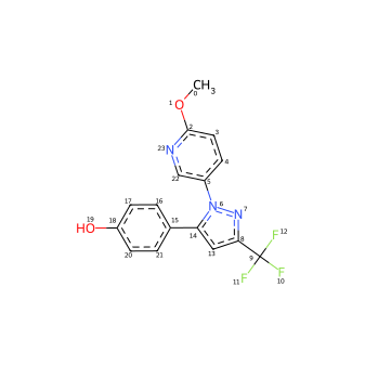 COc1ccc(-n2nc(C(F)(F)F)cc2-c2ccc(O)cc2)cn1